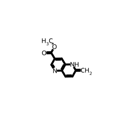 C=C1C=Cc2ncc(C(=O)OC)cc2N1